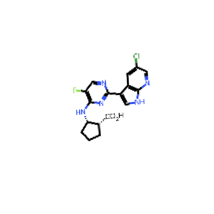 O=C(O)[C@@H]1CCC[C@@H]1Nc1nc(-c2c[nH]c3ncc(Cl)cc23)ncc1F